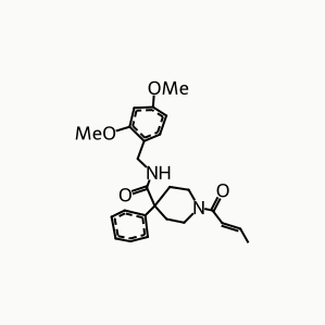 C/C=C/C(=O)N1CCC(C(=O)NCc2ccc(OC)cc2OC)(c2ccccc2)CC1